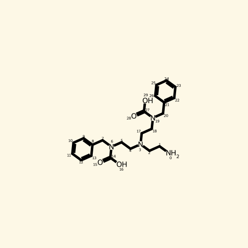 NCCN(CCN(Cc1ccccc1)C(=O)O)CCN(Cc1ccccc1)C(=O)O